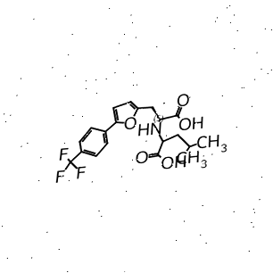 CC(C)CC(N[C@@H](Cc1ccc(-c2ccc(C(F)(F)F)cc2)o1)C(=O)O)C(=O)O